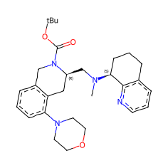 CN(C[C@H]1Cc2c(cccc2N2CCOCC2)CN1C(=O)OC(C)(C)C)[C@H]1CCCc2cccnc21